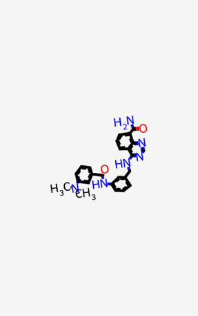 CN(C)c1cccc(C(=O)Nc2cccc(CNc3ncnc4c(C(N)=O)cccc34)c2)c1